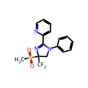 CS(=O)(=O)C1(C(F)(F)F)CN(c2ccccc2)C(c2ccccn2)=N1